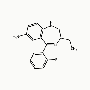 CCC1CNc2ccc(N)cc2C(c2ccccc2F)=N1